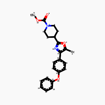 CC(=O)c1oc(C2CCN(C(=O)OC(C)(C)C)CC2)nc1-c1ccc(Oc2ccccc2)cc1